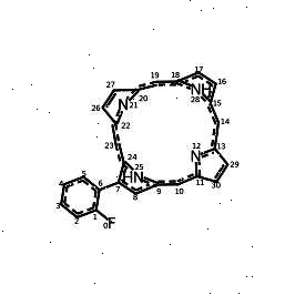 Fc1ccccc1-c1cc2cc3nc(cc4ccc(cc5nc(cc1[nH]2)C=C5)[nH]4)C=C3